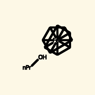 CCCO.[CH]12[CH]3[CH]4[CH]5[CH]1[Fe]23451678[CH]2[CH]1[CH]6[CH]7[CH]28